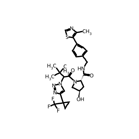 Cc1ncsc1-c1ccc(CNC(=O)[C@@H]2C[C@@H](O)CN2C(=O)C(n2cc(C3(C(F)(F)F)CC3)nn2)C(C)(C)C)cc1